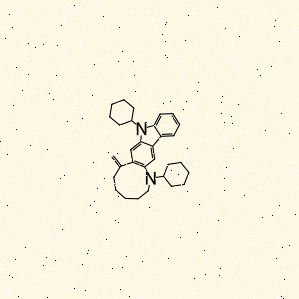 C=C1CCCCCN(C2CCCCC2)c2cc3c4ccccc4n(C4CCCCC4)c3cc21